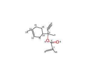 C#CC(C)(OC(=O)C(=C)C)C1CC=C(C)CC1